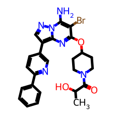 CC(O)C(=O)N1CCC(Oc2nc3c(-c4ccc(-c5ccccc5)nc4)cnn3c(N)c2Br)CC1